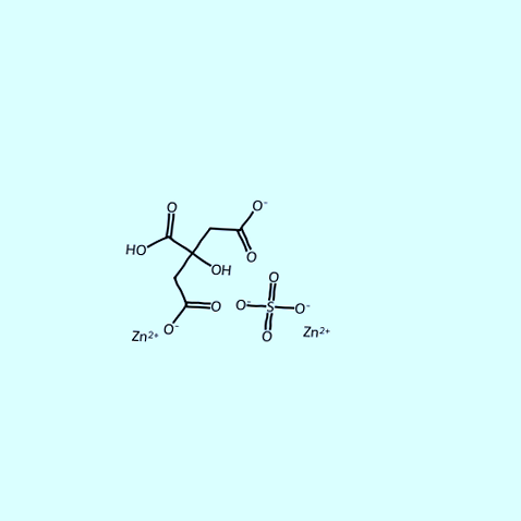 O=C([O-])CC(O)(CC(=O)[O-])C(=O)O.O=S(=O)([O-])[O-].[Zn+2].[Zn+2]